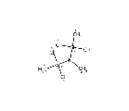 CN([Si](C)(Cl)Cl)[Si](C)(Cl)Cl